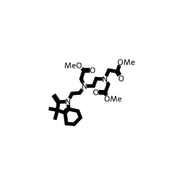 C=C1N(CCN(CCN(CC(=O)OC)CC(=O)OC)CC(=O)OC)C2=C(CCCC2)C1(C)C